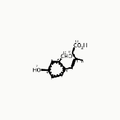 C/C(=C/c1ccc(O)cc1C=O)CC(=O)O